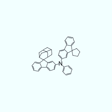 c1ccc(N(c2ccc3c(c2)C2(CCCC2)c2ccccc2-3)c2ccc3c(c2)C2(c4ccccc4-3)C3CC4CC(C3)CC2C4)cc1